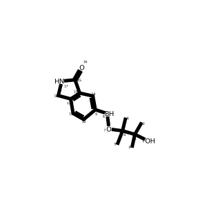 CC(C)(O)C(C)(C)OBc1ccc2c(c1)C(=O)NC2